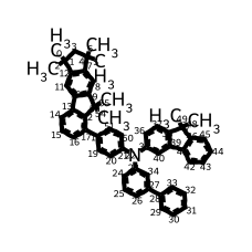 CC1(C)CC(C)(C)c2cc3c(cc21)-c1cccc(-c2ccc(N(c4cccc(-c5ccccc5)c4)c4ccc5c(c4)-c4ccccc4C5(C)C)cc2)c1C3(C)C